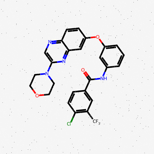 O=C(Nc1cccc(Oc2ccc3ncc(N4CCOCC4)nc3c2)c1)c1ccc(Cl)c(C(F)(F)F)c1